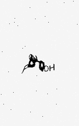 Oc1ccc(-c2noc3cc(F)ccc23)cc1